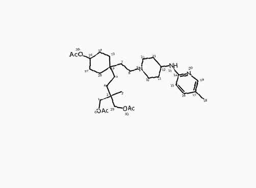 CC(=O)OCC(C)(CCC1(CCN2CCC(Nc3ccc(C)cn3)CC2)CCC(OC(C)=O)CC1)COC(C)=O